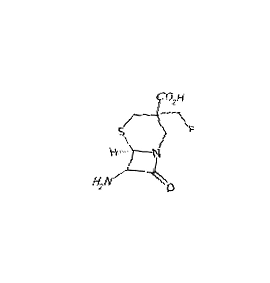 NC1C(=O)N2CC(CF)(C(=O)O)CS[C@H]12